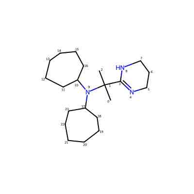 CC(C)(C1=NCCCN1)N(C1CCCCCC1)C1CCCCCC1